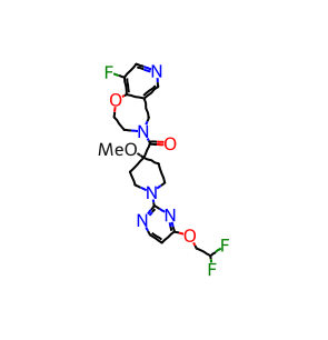 COC1(C(=O)N2CCOc3c(F)cncc3C2)CCN(c2nccc(OCC(F)F)n2)CC1